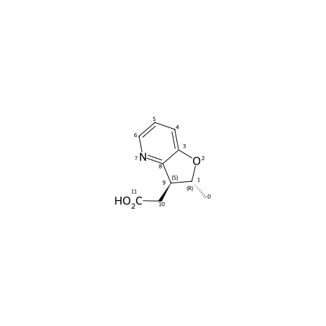 C[C@H]1Oc2cccnc2[C@@H]1CC(=O)O